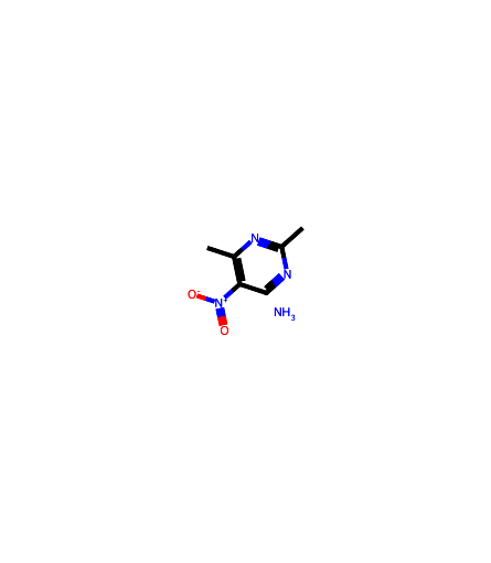 Cc1ncc([N+](=O)[O-])c(C)n1.N